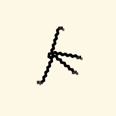 CCCCCCCCCCC1=C(CCCCCCCCCC)C(CCCCCCCCCC)(CCCCCCCCCC)CC1